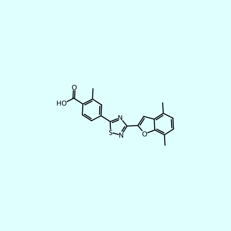 Cc1cc(-c2nc(-c3cc4c(C)ccc(C)c4o3)ns2)ccc1C(=O)O